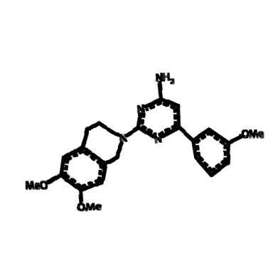 COc1cccc(-c2cc(N)nc(N3CCc4cc(OC)c(OC)cc4C3)n2)c1